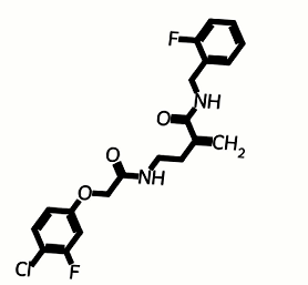 C=C(CCNC(=O)COc1ccc(Cl)c(F)c1)C(=O)NCc1ccccc1F